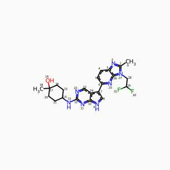 Cc1nc2ccc(-c3c[nH]c4nc(NC5CCC(C)(O)CC5)ncc34)nc2n1CC(F)F